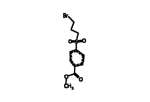 COC(=O)c1ccc(S(=O)(=O)CCCBr)cc1